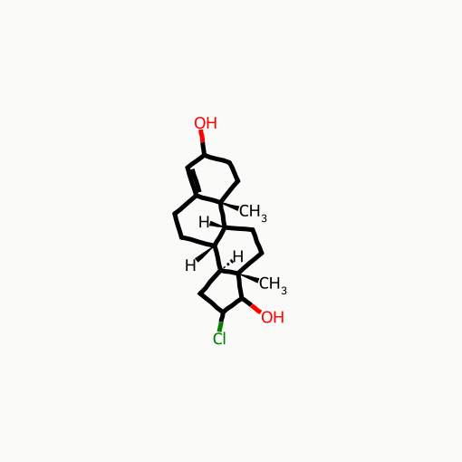 C[C@]12CCC(O)C=C1CC[C@@H]1[C@H]2CC[C@]2(C)C(O)C(Cl)C[C@@H]12